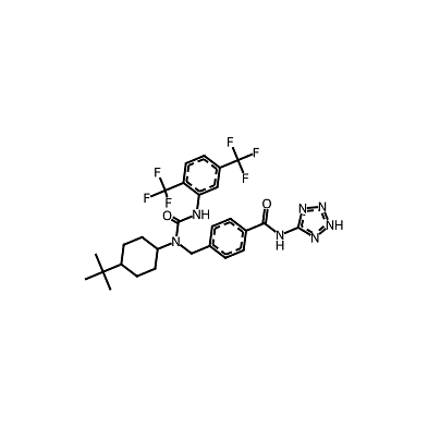 CC(C)(C)C1CCC(N(Cc2ccc(C(=O)Nc3nn[nH]n3)cc2)C(=O)Nc2cc(C(F)(F)F)ccc2C(F)(F)F)CC1